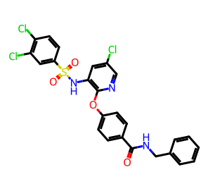 O=C(NCc1ccccc1)c1ccc(Oc2ncc(Cl)cc2NS(=O)(=O)c2ccc(Cl)c(Cl)c2)cc1